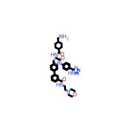 NCC1CCC(C(=O)N[C@@H](Cc2ccc(-c3cccc(C(=O)NCCN4CCOCC4)c3)cc2)C(=O)Nc2ccc(-c3nnn[nH]3)cc2)CC1